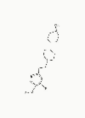 CCCC[C@H]1CC[C@H](C2CC=C(CCc3ccc(OCC)c(F)c3)CC2)CC1